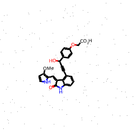 COc1cc[nH]c1C=C1C(=O)Nc2cccc(C#CC(O)c3ccc(OCC(=O)O)cc3)c21